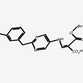 CCC(C)OC(=O)C(=CNc1cnc(Cc2cccc(Cl)c2)nc1)C(=O)O